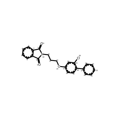 O=C1c2ccccc2C(=O)N1CCCOc1ccc(-c2ccccc2)c(Cl)c1